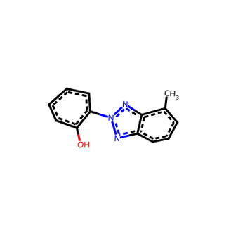 Cc1cccc2nn(-c3ccccc3O)nc12